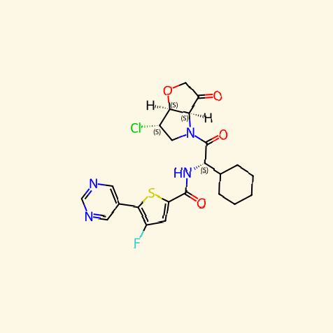 O=C(N[C@H](C(=O)N1C[C@H](Cl)[C@H]2OCC(=O)[C@H]21)C1CCCCC1)c1cc(F)c(-c2cncnc2)s1